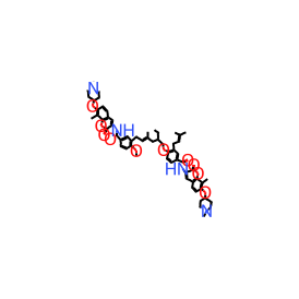 CCC(COc1ccc(C(=O)Nc2cc3ccc(OC4CCN(C)CC4)c(C)c3oc2=O)cc1CC=C(C)C)C/C(C)=C/Cc1cc(C(=O)Nc2cc3ccc(OC4CCN(C)CC4)c(C)c3oc2=O)ccc1OC